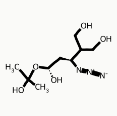 CC(C)(O)O[C@@H](O)C[C@H](N=[N+]=[N-])C(CO)CO